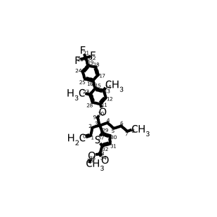 C=CCC(CCCCC)(COc1cc(C)c(-c2ccc(C(F)(F)F)cc2)c(C)c1)c1ccc(C(=O)OC)s1